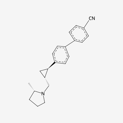 C[C@H]1CCCN1C[C@@H]1C[C@H]1c1ccc(-c2ccc(C#N)cc2)cc1